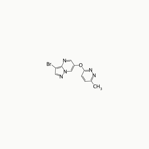 Cc1ccc(Oc2cnc3c(Br)cnn3c2)nn1